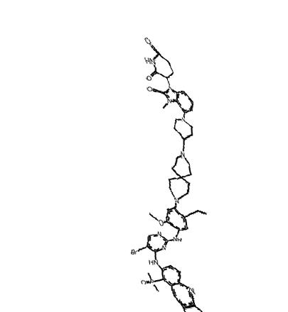 CCc1cc(Nc2ncc(Br)c(Nc3ccc4nc(C)c(F)cc4c3P(C)(C)=O)n2)c(OC)cc1N1CCC2(CC1)CCN(C1CCN(c3cccc4c3n(C)c(=O)n4C3CCC(=O)NC3=O)CC1)CC2